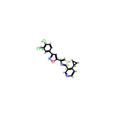 Clc1ccc(-c2cc(-c3csc(-c4cnccc4C4CC4)n3)on2)cc1Cl